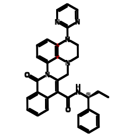 CC[C@H](NC(=O)c1c(CN2CCN(c3ncccn3)CC2)n(-c2ccccc2)c(=O)c2ccccc12)c1ccccc1